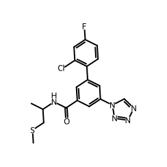 CSCC(C)NC(=O)c1cc(-c2ccc(F)cc2Cl)cc(-n2cnnn2)c1